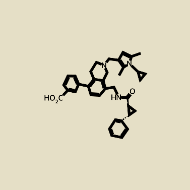 Cc1cc(CN2CCc3c(-c4cccc(C(=O)O)c4)ccc(CNC(=O)[C@H]4C[C@@H]4c4ccccc4)c3C2)c(C)n1C1CC1